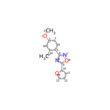 COc1ccc(-c2noc(-c3ccco3)n2)c(C)c1